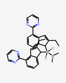 CCC1=Cc2c(-c3ncccn3)cccc2[CH]1[Zr]([Cl])([Cl])([CH]1C(CC)=Cc2c(-c3ncccn3)cccc21)[SiH](C)C